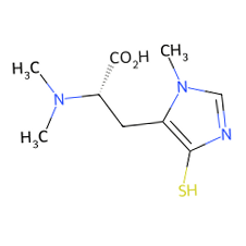 CN(C)[C@@H](Cc1c(S)ncn1C)C(=O)O